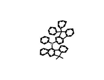 CC1(C)c2ccccc2-c2c1cc1ccccc1c2N(c1ccccc1)c1ccc2c(c1)C(c1ccccc1)(c1ccccc1)c1ccccc1-2